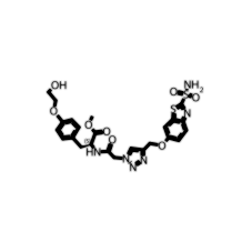 COC(=O)[C@H](Cc1ccc(OCCO)cc1)NC(=O)Cn1cc(COc2ccc3nc(S(N)(=O)=O)sc3c2)nn1